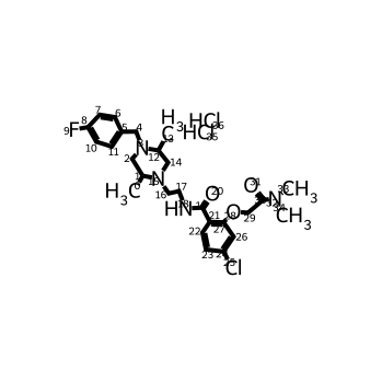 CC1CN(Cc2ccc(F)cc2)C(C)CN1CCNC(=O)c1ccc(Cl)cc1OCC(=O)N(C)C.Cl.Cl